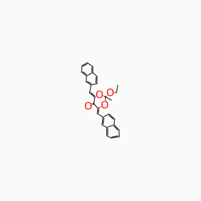 CCOC1(C)O/C(=C\c2ccc3ccccc3c2)C(=O)/C(=C/c2ccc3ccccc3c2)O1